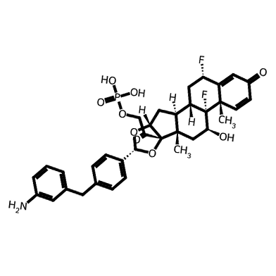 C[C@]12C=CC(=O)C=C1[C@@H](F)C[C@H]1[C@@H]3C[C@H]4O[C@@H](c5ccc(Cc6cccc(N)c6)cc5)O[C@@]4(C(=O)COP(=O)(O)O)[C@@]3(C)C[C@H](O)[C@@]12F